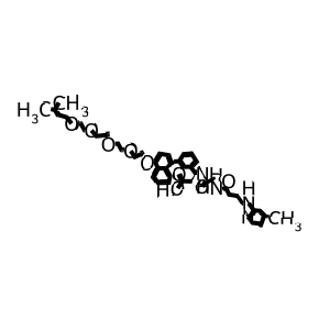 Cc1ccnc(NCCCC(=O)NCC(=O)N[C@@H](CC(=O)O)c2cccc(-c3ccc(OCCOCCOCCOCCOCCC(C)C)c4ccccc34)c2)c1